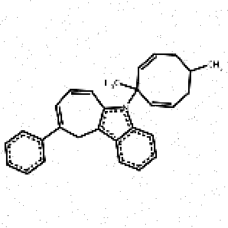 CC1C/C=C\C(C)(n2c3c(c4ccccc42)CC(c2ccccc2)=CC=C3)/C=C\C1